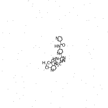 C[C@@H](OC(=O)Nc1c(-c2ccc(NC(=O)c3cccnc3)cn2)nnn1C)c1cccnc1Cl